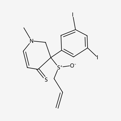 C=CC[S+]([O-])C1(c2cc(I)cc(I)c2)CN(C)C=CC1=S